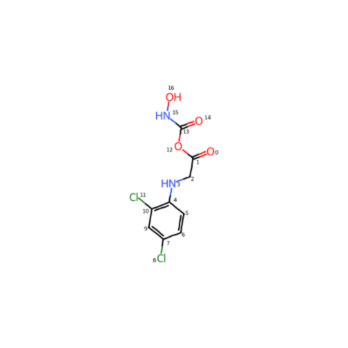 O=C(CNc1ccc(Cl)cc1Cl)OC(=O)NO